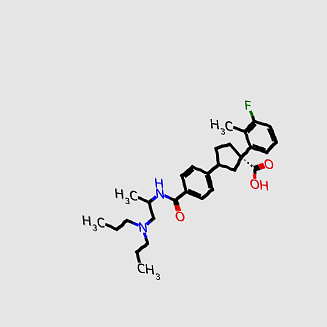 CCCN(CCC)CC(C)NC(=O)c1ccc(C2CC[C@@](C(=O)O)(c3cccc(F)c3C)C2)cc1